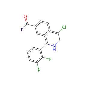 O=C(I)c1ccc2c(c1)=C(c1cccc(F)c1F)NCC=2Cl